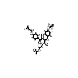 CC(=O)OCCNC(=O)C(Cc1ccc(OC(F)(F)F)cc1)NC(=O)c1ccc(OCC2CC2)cc1